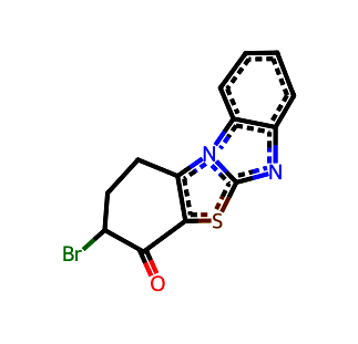 O=C1c2sc3nc4ccccc4n3c2CCC1Br